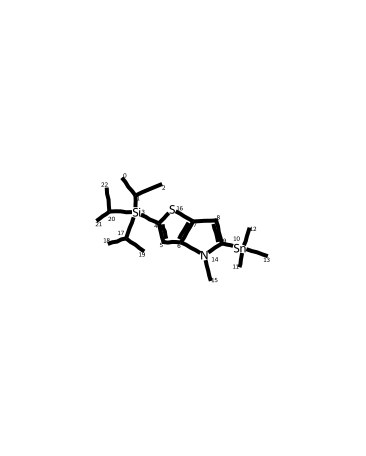 CC(C)[Si](c1cc2c(c[c]([Sn]([CH3])([CH3])[CH3])n2C)s1)(C(C)C)C(C)C